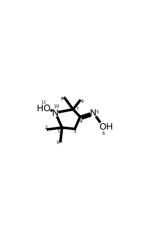 CC1(C)CC(=NO)C(C)(C)N1O